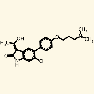 C/C(O)=C1\C(=O)Nc2cc(Cl)c(-c3ccc(OCCCN(C)C)cc3)cc21